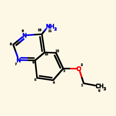 CCOc1ccc2ncnc(N)c2c1